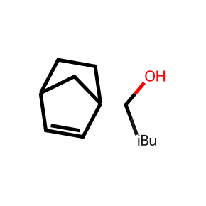 C1=CC2CCC1C2.CCC(C)CO